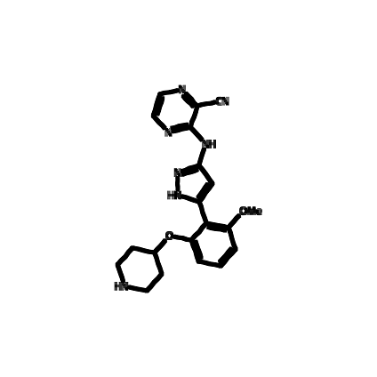 COc1cccc(OC2CCNCC2)c1-c1cc(Nc2nccnc2C#N)n[nH]1